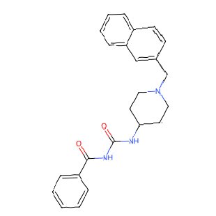 O=C(N[C]1[CH]CN(Cc2ccc3ccccc3c2)CC1)NC(=O)c1ccccc1